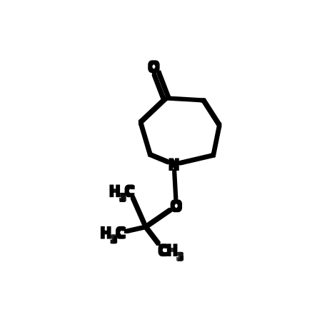 CC(C)(C)ON1CCCC(=O)CC1